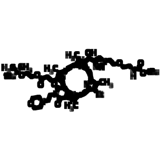 CCC1=C(C)c2cc3[nH]c(cc4nc(c5c6[nH]c(cc1n2)c(C)c6C(=O)N(CCN1CCOCC1)C5=O)[C@@H](CCC(=O)OCCO[Si](C)(C)C(C)(C)C)[C@@H]4C)c(C)c3C(O)c1cn(CCOCCNC(=O)OC(C)(C)C)nn1